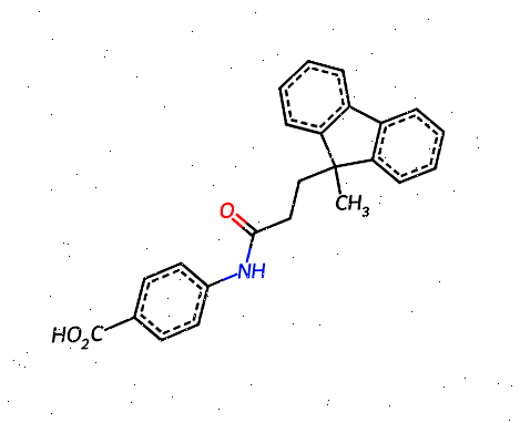 CC1(CCC(=O)Nc2ccc(C(=O)O)cc2)c2ccccc2-c2ccccc21